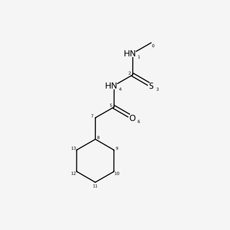 CNC(=S)NC(=O)CC1CCCCC1